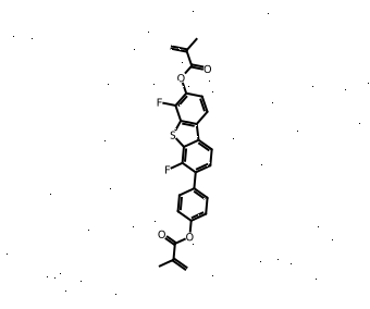 C=C(C)C(=O)Oc1ccc(-c2ccc3c(sc4c(F)c(OC(=O)C(=C)C)ccc43)c2F)cc1